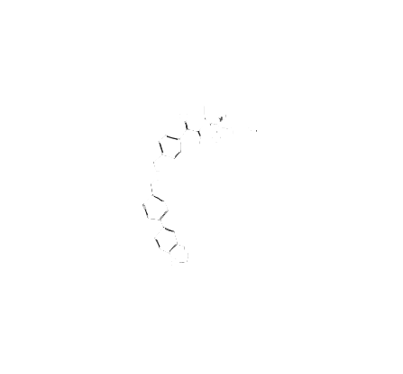 CCCCCCS(=O)(=O)NC(=O)C(=O)c1ccc(CSCc2ccc(-c3ccc4c(c3)OCO4)cc2)cc1